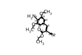 CCOC(=O)C(C#N)=Cc1cc(OC)c(N)c(OC)c1